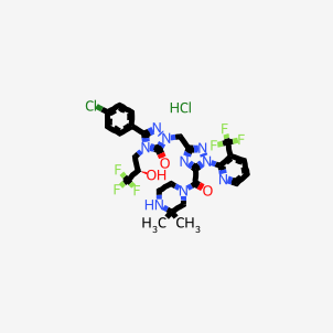 CC1(C)CN(C(=O)c2nc(Cn3nc(-c4ccc(Cl)cc4)n(C[C@H](O)C(F)(F)F)c3=O)nn2-c2ncccc2C(F)(F)F)CCN1.Cl